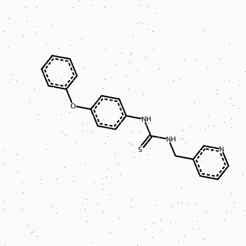 S=C(NCc1cccnc1)Nc1ccc(Oc2ccccc2)cc1